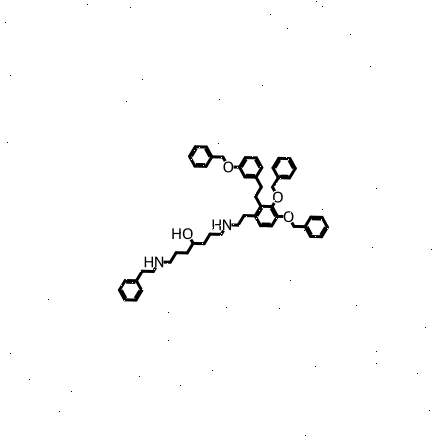 OC(CCCNCCc1ccccc1)CCCNCCc1ccc(OCc2ccccc2)c(OCc2ccccc2)c1CCc1cccc(OCc2ccccc2)c1